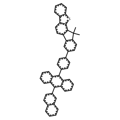 CC1(C)c2ccc(-c3ccc(-c4c5ccccc5c(-c5ccc6ccccc6c5)c5ccccc45)cc3)cc2-c2ccc3c(sc4ccccc43)c21